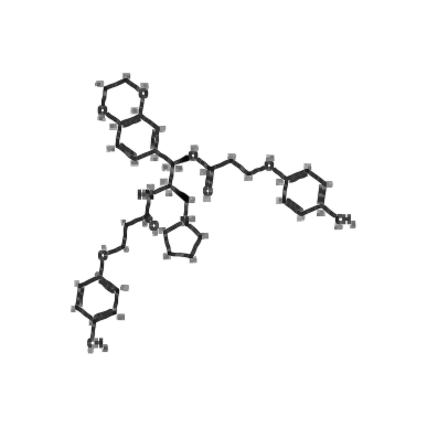 Cc1ccc(OCCC(=O)N[C@H](CN2CCCC2)[C@H](OC(=O)CCOc2ccc(C)cc2)c2ccc3c(c2)OCCO3)cc1